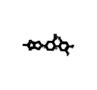 Cc1nc2c(o1)CN([C@H]1CC[C@H](C3CC(F)=C(F)C=C3F)C(N)C1)C2